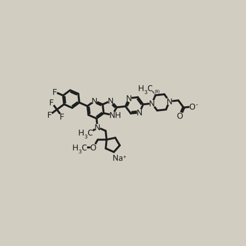 COCC1(CN(C)c2cc(-c3ccc(F)c(C(F)(F)F)c3)nc3nc(-c4cnc(N5CCN(CC(=O)[O-])C[C@H]5C)cn4)[nH]c23)CCCC1.[Na+]